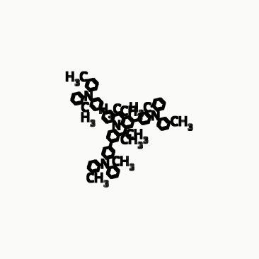 Cc1cccc(N(c2ccc(-c3ccc4c(c3)C(C)(C)c3cc(-c5ccc(N(c6cccc(C)c6)c6ccccc6C)cc5)cc5c3N4c3ccc(-c4ccc(N(c6cccc(C)c6)c6ccccc6C)cc4)cc3C5(C)C)cc2)c2ccccc2C)c1